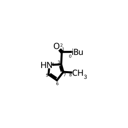 CCC(C)C(=O)c1[nH]ccc1C